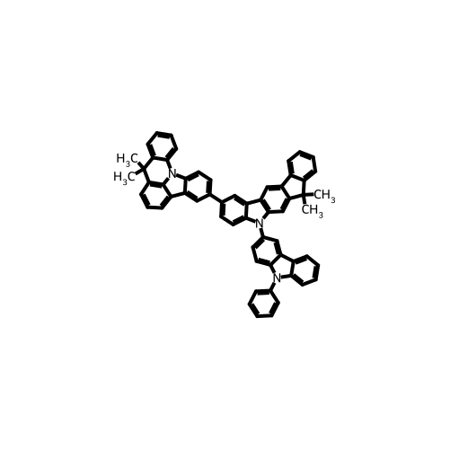 CC1(C)c2ccccc2-c2cc3c4cc(-c5ccc6c(c5)c5cccc7c5n6-c5ccccc5C7(C)C)ccc4n(-c4ccc5c(c4)c4ccccc4n5-c4ccccc4)c3cc21